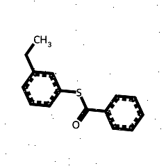 CCc1[c]c(SC(=O)c2ccccc2)ccc1